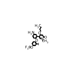 C=CCCOc1cc(=O)n(C)cc1-c1cc(N)ccc1Oc1ccc(OC(F)(F)F)cc1I